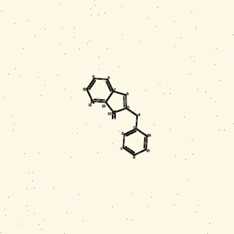 c1ccc(Cc2cc3cccnc3[nH]2)cc1